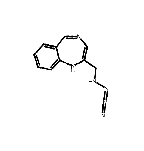 [N-]=[N+]=NNCC1=CN=Cc2ccccc2N1